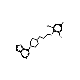 Fc1cc(Br)c(OCCCN2CCN(c3cccc4ccsc34)CC2)c(Br)c1